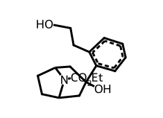 CCOC(=O)N1C2CCC1CC(O)(c1ccccc1CCO)C2